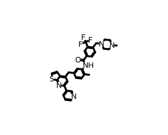 Cc1ccc(Cc2cc(-c3cccnc3)nc3sccc23)cc1NC(=O)c1ccc(CN2CCN(C)CC2)c(C(F)(F)F)c1